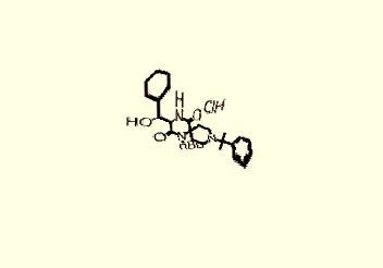 CCCCN1C(=O)[C@@H]([C@H](O)C2CCCCC2)NC(=O)C12CCN(C(C)(C)c1ccccc1)CC2.Cl